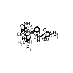 CC[C@H]1C[C@]1(NC(=O)[C@@H]1[C@@H]2[C@H](CN1C(=O)[C@@H](NC(=O)N[C@H](CN1C(=O)CC(C)(C)CC1=O)C(C)(C)C)C1(C)CCCCC1)C2(C)C)C(=O)C(N)=O